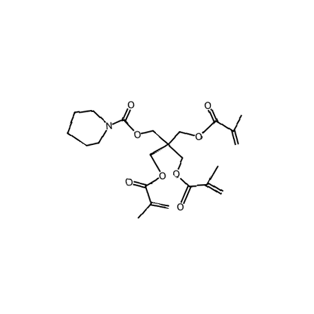 C=C(C)C(=O)OCC(COC(=O)C(=C)C)(COC(=O)C(=C)C)COC(=O)N1CCCCC1